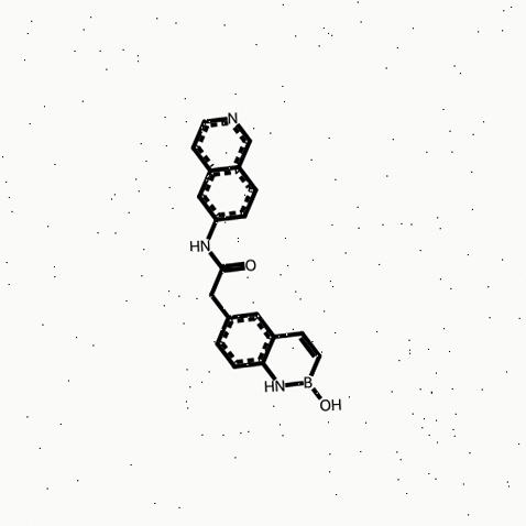 O=C(Cc1ccc2c(c1)C=CB(O)N2)Nc1ccc2cnccc2c1